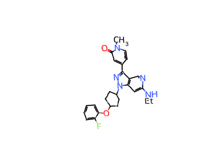 CCNc1cc2c(cn1)c(-c1ccn(C)c(=O)c1)nn2C1CCC(Oc2ccccc2F)CC1